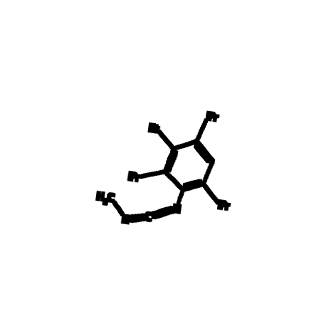 CCc1c(C(C)C)cc(C(C)C)c(N=C=NC)c1C(C)C